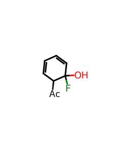 CC(=O)C1C=CC=CC1(O)F